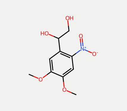 COc1cc(C(O)CO)c([N+](=O)[O-])cc1OC